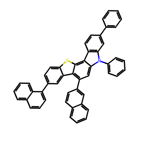 c1ccc(-c2ccc3c4c5sc6ccc(-c7cccc8ccccc78)cc6c5c(-c5ccc6ccccc6c5)cc4n(-c4ccccc4)c3c2)cc1